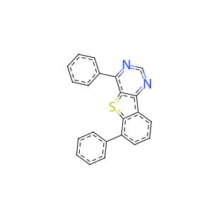 c1ccc(-c2cccc3c2sc2c(-c4ccccc4)ncnc23)cc1